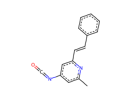 Cc1cc(N=C=O)cc(C=Cc2ccccc2)n1